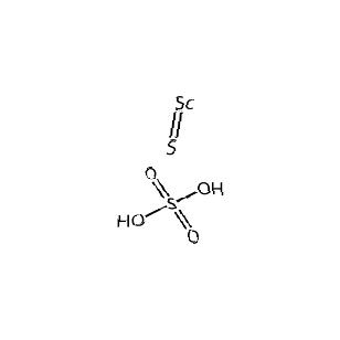 O=S(=O)(O)O.[S]=[Sc]